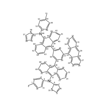 Cc1ccc(N(c2cccs2)c2c3ccccc3c(-c3cc(-c4c5ccccc5cc5ccccc45)cc(-c4c5ccccc5c(N(c5ccc(C)cc5)c5cccs5)c5ccccc45)c3)c3ccccc23)cc1